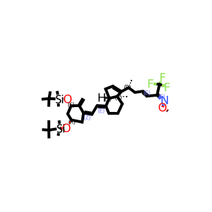 C=C1/C(=C\C=C2/CCC[C@]3(C)C([C@H](C)C/C=C/C(=N\OC)C(F)(F)F)=CC[C@@H]23)C[C@@H](O[Si](C)(C)C(C)(C)C)C[C@@H]1O[Si](C)(C)C(C)(C)C